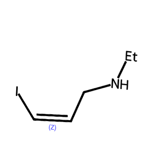 CCNC/C=C\I